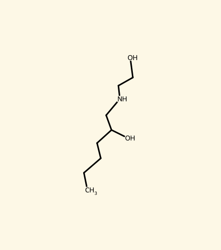 CCCCC(O)CNCCO